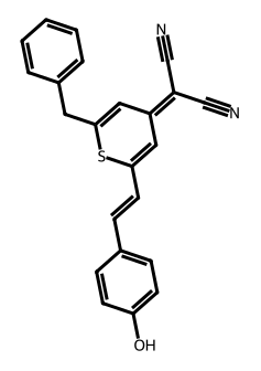 N#CC(C#N)=C1C=C(/C=C/c2ccc(O)cc2)SC(Cc2ccccc2)=C1